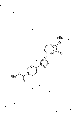 CCCCON1C(=O)N2CC1CC[C@H]2c1nnc(C2CCN(C(=O)OC(C)(C)C)CC2)s1